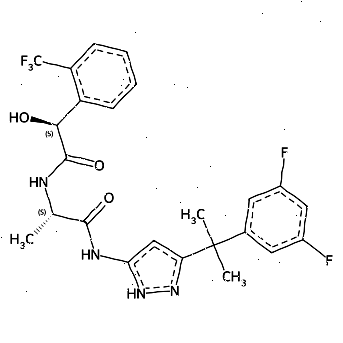 C[C@H](NC(=O)[C@@H](O)c1ccccc1C(F)(F)F)C(=O)Nc1cc(C(C)(C)c2cc(F)cc(F)c2)n[nH]1